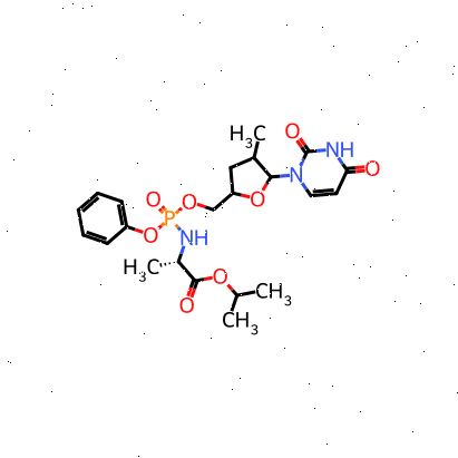 CC(C)OC(=O)[C@H](C)NP(=O)(OCC1CC(C)C(n2ccc(=O)[nH]c2=O)O1)Oc1ccccc1